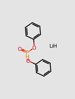 O=[PH](Oc1ccccc1)Oc1ccccc1.[LiH]